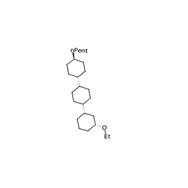 CCCCC[C@H]1CC[C@H](C2CCC([C@H]3CCC[C@@H](OCC)C3)CC2)CC1